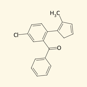 CC1=C(c2ccc(Cl)cc2C(=O)c2ccccc2)CC=C1